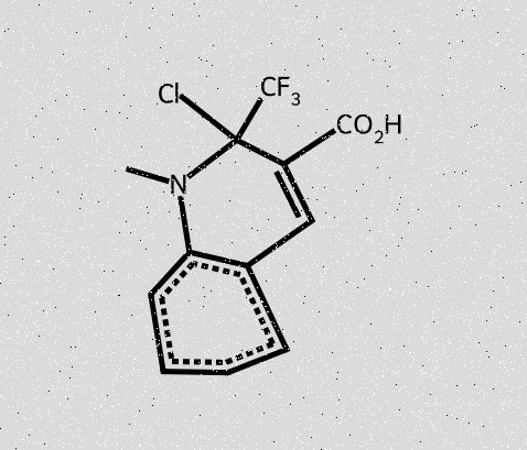 CN1c2ccccc2C=C(C(=O)O)C1(Cl)C(F)(F)F